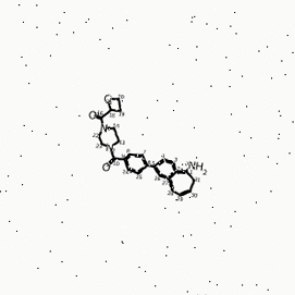 NC1=c2ccc(-c3ccc(C(=O)N4CCN(C(=O)C5CCO5)CC4)cc3)cc2=CC=CC1